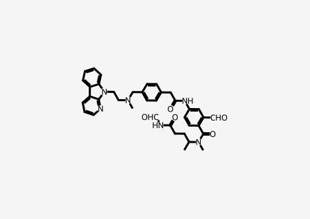 CC(CCC(=O)NC=O)N(C)C(=O)c1ccc(NC(=O)Cc2ccc(CN(C)CCn3c4ccccc4c4cccnc43)cc2)cc1C=O